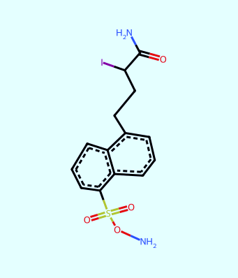 NOS(=O)(=O)c1cccc2c(CCC(I)C(N)=O)cccc12